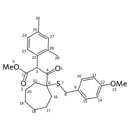 COC(=O)C(C(=O)C1(SCc2ccc(OC)cc2)CCCCCC1)c1ccc(C)cc1C